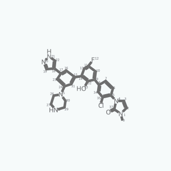 Cn1ccn(-c2ccc(-c3cc(F)cc(-c4cc(-c5cn[nH]c5)cc(N5CCNCC5)c4)c3O)cc2Cl)c1=O